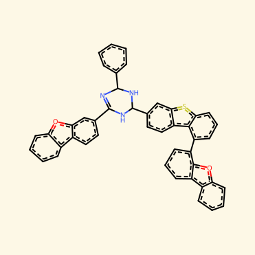 c1ccc(C2N=C(c3ccc4c(c3)oc3ccccc34)NC(c3ccc4c(c3)sc3cccc(-c5cccc6c5oc5ccccc56)c34)N2)cc1